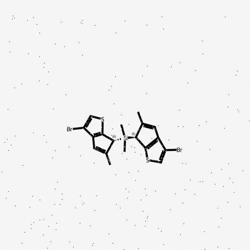 CC1=Cc2c(Br)csc2[C@@H]1[Si](C)(C)[C@H]1C(C)=Cc2c(Br)csc21